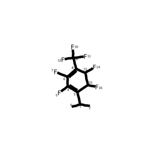 CC(C)C1=C(F)C(F)=C(C(F)(F)F)C(F)C1F